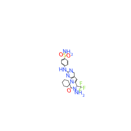 NN1C(=O)C2(CCCCC2)n2c(cc3cnc(Nc4ccc(S(N)(=O)=O)cc4)nc32)C1C(F)(F)F